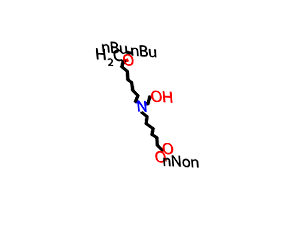 C=C(CCCCCCCN(CCO)CCCCCCCC(=O)OCCCCCCCCC)OC(CCCC)CCCC